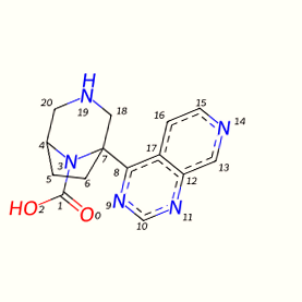 O=C(O)N1C2CCC1(c1ncnc3cnccc13)CNC2